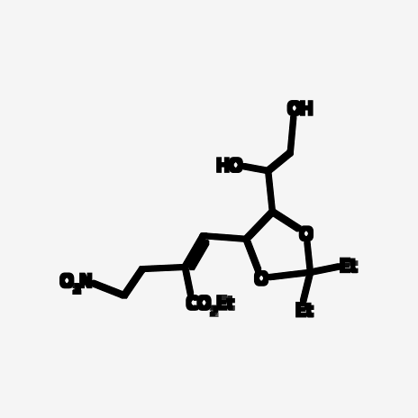 CCOC(=O)C(=CC1OC(CC)(CC)OC1C(O)CO)CC[N+](=O)[O-]